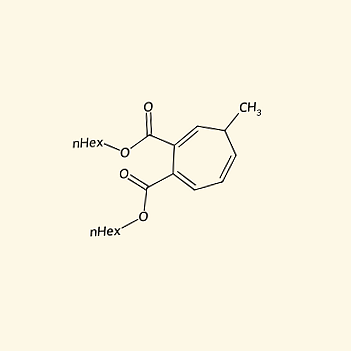 CCCCCCOC(=O)C1=CC=CC(C)C=C1C(=O)OCCCCCC